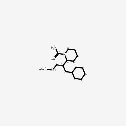 CCCCCNC[C@H](CC1CCCCC1)C1CCCCN1C(N)=O